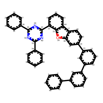 c1ccc(-c2cccc(-c3cccc(-c4ccc5c(c4)oc4c(-c6nc(-c7ccccc7)nc(-c7ccccc7)n6)cccc45)c3)c2)cc1